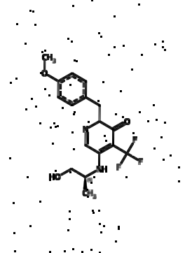 COc1ccc(CC2N=CC(N[C@@H](C)CO)=C(C(F)(F)F)C2=O)cc1